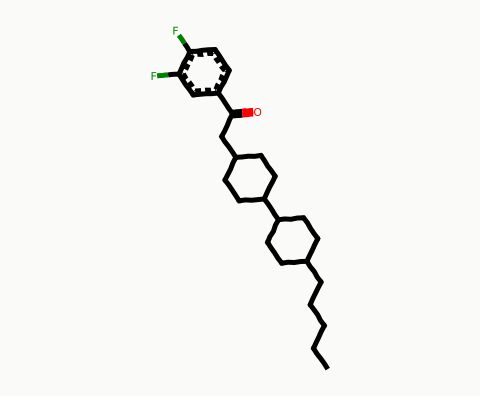 CCCCCC1CCC(C2CCC(CC(=O)c3ccc(F)c(F)c3)CC2)CC1